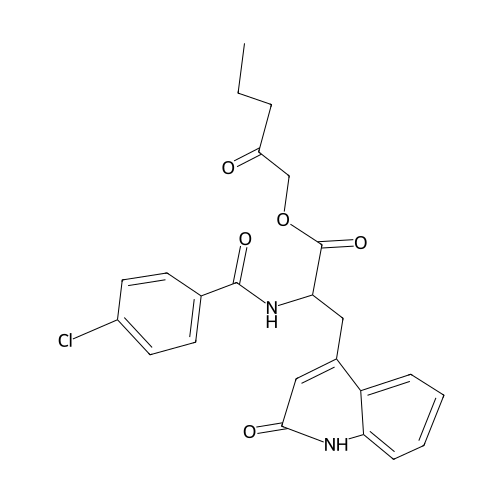 CCCC(=O)COC(=O)C(Cc1cc(=O)[nH]c2ccccc12)NC(=O)c1ccc(Cl)cc1